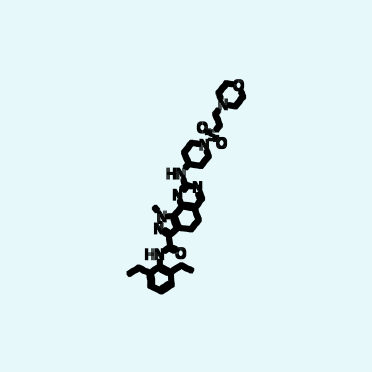 CCc1cccc(CC)c1NC(=O)c1nn(C)c2c1CCc1cnc(NC3CCN(S(=O)(=O)CCN4CCOCC4)CC3)nc1-2